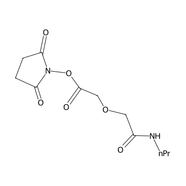 CCCNC(=O)COCC(=O)ON1C(=O)CCC1=O